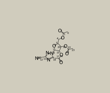 CC(=O)OCC1OC(n2cnc(C#N)n2)C(OC(C)=O)C1OC(C)=O